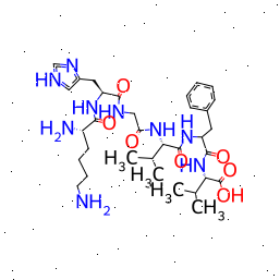 CC(C)[C@H](NC(=O)C(Cc1ccccc1)NC(=O)[C@@H](NC(=O)CNC(=O)[C@H](Cc1c[nH]cn1)NC(=O)[C@@H](N)CCCCN)C(C)C)C(=O)O